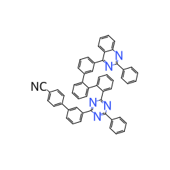 N#Cc1ccc(-c2cccc(-c3nc(-c4ccccc4)nc(-c4ccccc4-c4ccccc4-c4cccc(-c5nc(-c6ccccc6)nc6ccccc56)c4)n3)c2)cc1